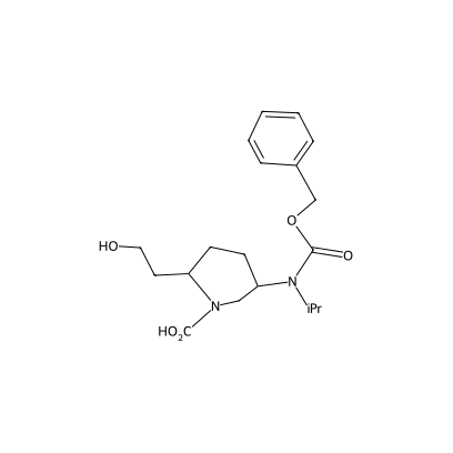 CC(C)N(C(=O)OCc1ccccc1)C1CCC(CCO)N(C(=O)O)C1